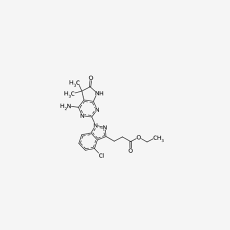 CCOC(=O)CCc1nn(-c2nc(N)c3c(n2)NC(=O)C3(C)C)c2cccc(Cl)c12